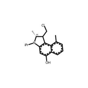 Cc1cccc2c(O)cc3c(c12)C(CCl)[C@@H](C)N3C(C)C